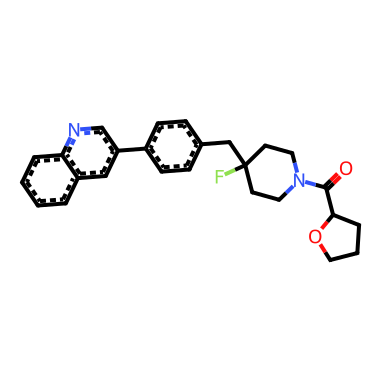 O=C(C1CCCO1)N1CCC(F)(Cc2ccc(-c3cnc4ccccc4c3)cc2)CC1